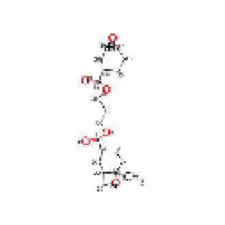 C[C@@]12CCC(C(=O)OCCCOC(=O)C3CCC4O[C@H]4C3)CC1CO2